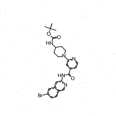 CC(C)(C)OC(=O)NC1CCN(c2cc(C(=O)Nc3cc4cc(Br)ccc4cn3)ccn2)CC1